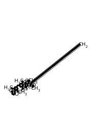 C=C=C=C=C=C=C=C=C=C=C=C=C=C=C=C=C=C=C=C=C=C=C=C=C=C=C=C=C=C=C=C=C=C=C=C(N(C)C(C)=O)N(C(C)=O)C1CC(=O)N(c2c(CC)cc(Cc3cc(CC)c(N4C(=O)C=CC4=O)c(CC)c3)cc2CC)C1=O